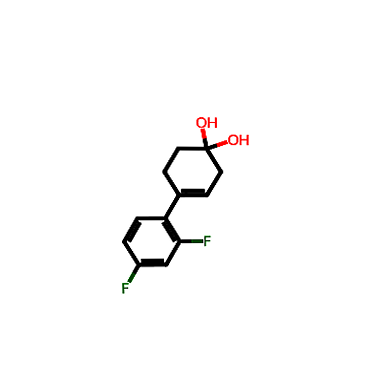 OC1(O)CC=C(c2ccc(F)cc2F)CC1